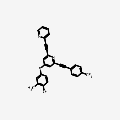 Cc1cc(Sc2cc(C#Cc3ccc(C(F)(F)F)cc3)nc(C#Cc3ccccn3)c2)ccc1[O]